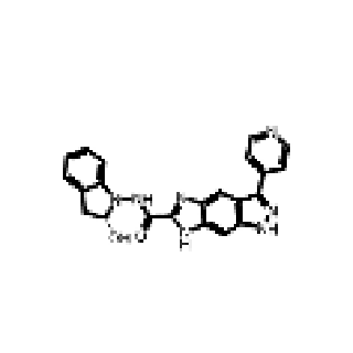 O=C(NN1c2ccccc2C[C@H]1O)c1nc2cc3c(-c4ccncc4)n[nH]c3cc2[nH]1